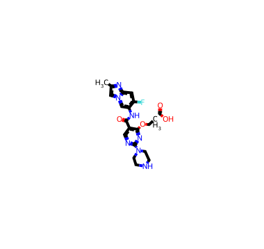 CCOc1nc(N2CCNCC2)ncc1C(=O)Nc1cn2cc(C)nc2cc1F.O=CO